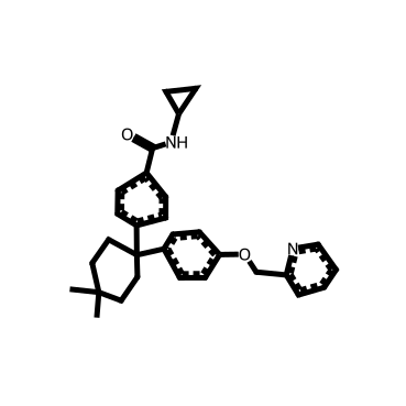 CC1(C)CCC(c2ccc(OCc3ccccn3)cc2)(c2ccc(C(=O)NC3CC3)cc2)CC1